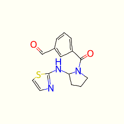 O=Cc1cccc(C(=O)N2CCCC2Nc2nccs2)c1